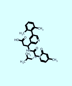 Cc1ccn([C@H](CC(C)C)C(=O)NC(CC(=O)O)c2cncc(-c3c(C)cccc3C)c2)c(=O)c1